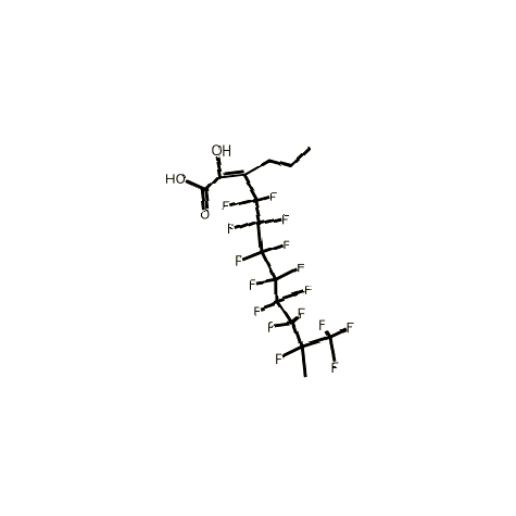 CCCC(=C(O)C(=O)O)C(F)(F)C(F)(F)C(F)(F)C(F)(F)C(F)(F)C(F)(F)C(C)(F)C(F)(F)F